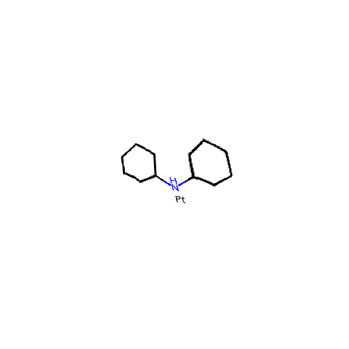 C1CCC(NC2CCCCC2)CC1.[Pt]